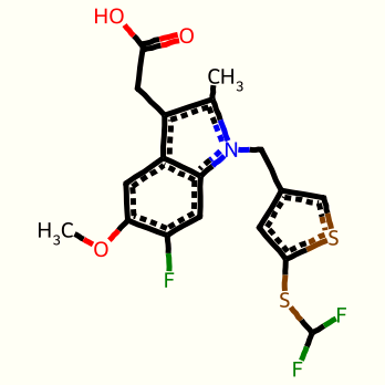 COc1cc2c(CC(=O)O)c(C)n(Cc3csc(SC(F)F)c3)c2cc1F